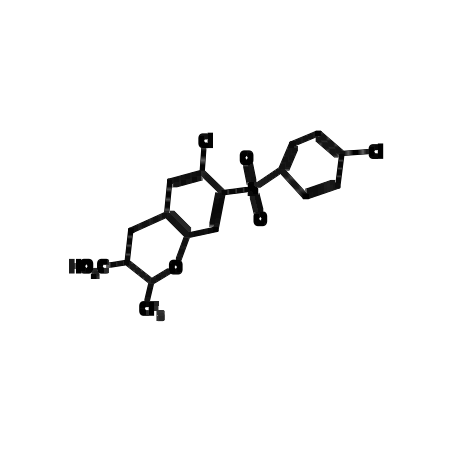 O=C(O)C1Cc2cc(Cl)c(S(=O)(=O)c3ccc(Cl)cc3)cc2OC1C(F)(F)F